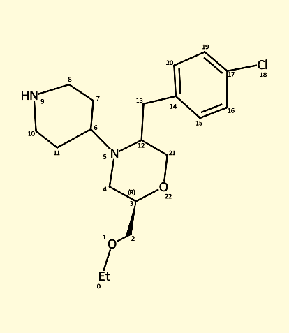 CCOC[C@H]1CN(C2CCNCC2)C(Cc2ccc(Cl)cc2)CO1